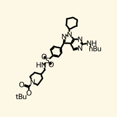 CCCCNc1ncc2c(-c3ccc(S(=O)(=O)NCC4CCN(C(=O)OC(C)(C)C)CC4)cc3)nn(C3CCCCC3)c2n1